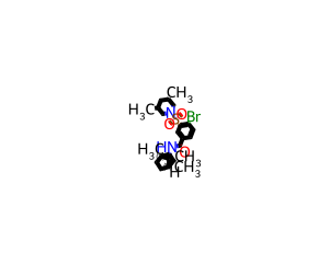 CC1CC(C)CN(S(=O)(=O)c2cc(C(=O)NC3C(C)(C)[C@@H]4CC[C@@]3(C)C4)ccc2Br)C1